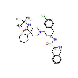 CC(C)(C)NC(=O)C1(C2CCCCC2)CCN(CC[C@H](Cc2ccc(Cl)cc2)NC(=O)[C@H]2Cc3ccccc3CN2)CC1